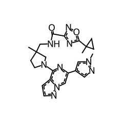 Cn1cc(-c2cn3nccc3c(N3CCC(C)(CNC(=O)c4noc(C5(C)CC5)n4)C3)n2)cn1